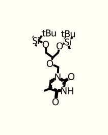 Cc1cn(COC(CO[Si](C)(C)C(C)(C)C)CO[Si](C)(C)C(C)(C)C)c(=O)[nH]c1=O